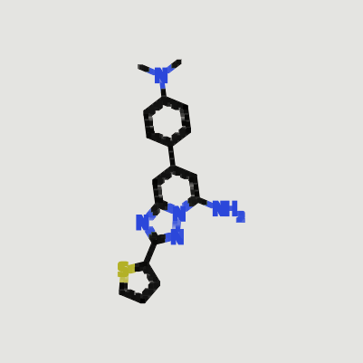 CN(C)c1ccc(-c2cc(N)n3nc(-c4cccs4)nc3c2)cc1